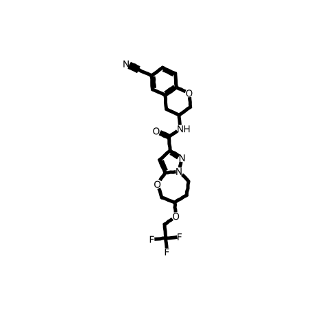 N#Cc1ccc2c(c1)CC(NC(=O)c1cc3n(n1)CCC(OCC(F)(F)F)CO3)CO2